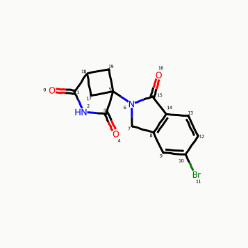 O=C1NC(=O)C2(N3Cc4cc(Br)ccc4C3=O)CC1C2